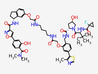 Cc1ncsc1-c1ccc(CNC(=O)[C@@H]2C[C@@H](O)CN2C(=O)[C@@H](NC(=O)C2(F)CC2)C(C)(C)C)c(OCC(=O)NCCCCNC(=O)COc2ccc3c(c2)[C@H](NC(=O)c2cc(-c4ccc(C(=O)N(C)C)c(O)c4)on2)CC3)c1